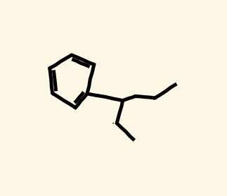 C[CH]C(CCC)c1ccccc1